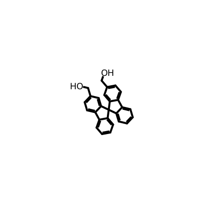 OCc1ccc2c(c1)C1(c3ccccc3-2)c2ccccc2-c2ccc(CO)cc21